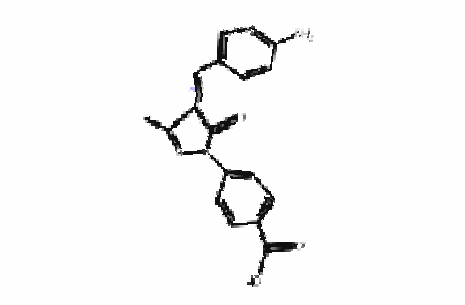 CC1=NN(c2ccc(C(=O)O)cc2)C(=O)/C1=C\c1ccc(N)cc1